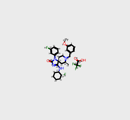 CC(C)Oc1cccc(CN2CC[C@@]3(C[C@@H]2C)C(N[C@@H]2CCCC[C@H]2F)=NC(=O)N3c2cccc(F)c2)c1.O=C(O)C(F)(F)F